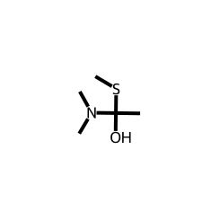 CSC(C)(O)N(C)C